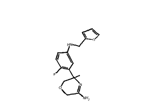 CC1(c2cc(NCc3ccco3)ccc2F)COCC(N)=N1